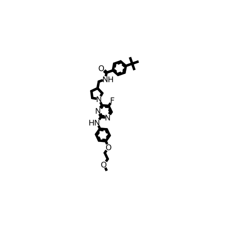 COCCOc1ccc(Nc2ncc(F)c(N3CCC(CNC(=O)c4ccc(C(C)(C)C)cc4)C3)n2)cc1